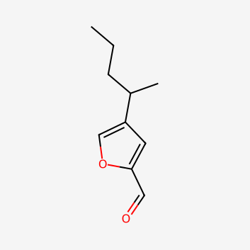 CCCC(C)c1coc(C=O)c1